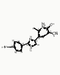 Cc1[nH]c(=O)c(C#N)cc1-c1csc(-c2ccc(F)cc2)n1